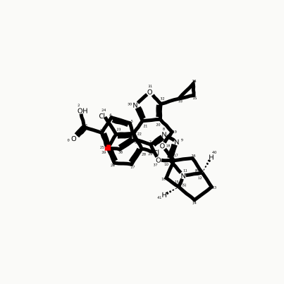 O=C(O)c1ccc(-c2nnc(N3[C@@H]4CC[C@H]3CC(OCc3c(-c5c(Cl)cccc5Cl)noc3C3CC3)C4)o2)cc1